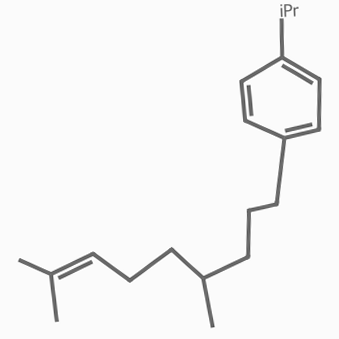 CC(C)=CCCC(C)CCCc1ccc(C(C)C)cc1